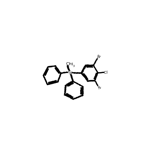 C[Si](c1ccccc1)(c1ccccc1)c1cc(Br)c(Cl)c(Br)c1